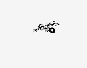 CCOC(=O)CN(C)C(=O)n1c([S@+]([O-])Cc2nccc(OCC(F)(F)F)c2C)nc2ccccc21